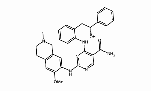 COc1cc2c(cc1Nc1ncc(C(N)=O)c(Nc3ccccc3C[C@@H](O)c3ccccc3)n1)CN(C)CC2